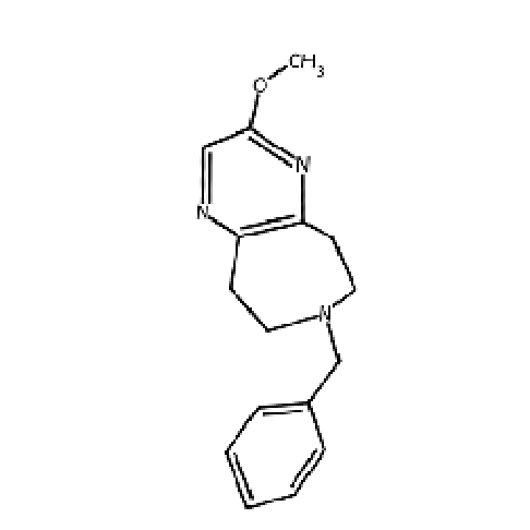 COc1cnc2c(n1)CCN(Cc1ccccc1)CC2